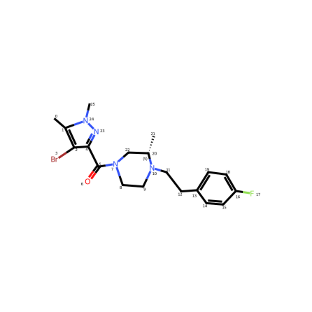 Cc1c(Br)c(C(=O)N2CCN(CCc3ccc(F)cc3)[C@@H](C)C2)nn1C